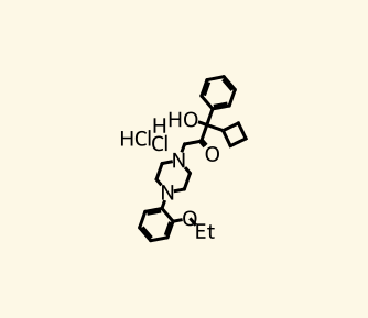 CCOc1ccccc1N1CCN(CC(=O)C(O)(c2ccccc2)C2CCC2)CC1.Cl.Cl